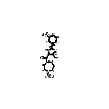 CCCCN1CCCN(C(=O)c2sc(-c3cccc(C(C)=O)c3)nc2C)CC1